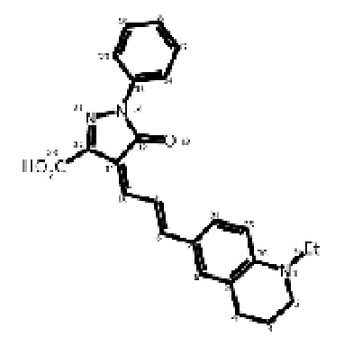 CCN1CCCc2cc(/C=C/C=C3\C(=O)N(c4ccccc4)N=C3C(=O)O)ccc21